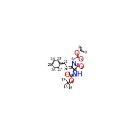 C=C(C)OC(=O)CN1C(=O)[C@@H](NC(=O)OC(C)(C)C)C1CCc1ccccc1